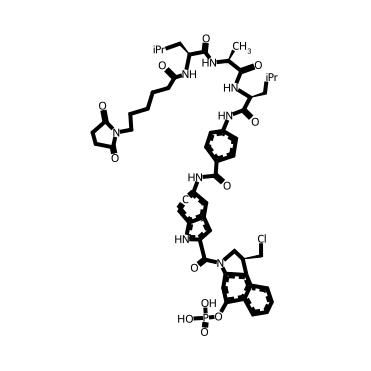 CC(C)C[C@H](NC(=O)CCCCCN1C(=O)CCC1=O)C(=O)N[C@@H](C)C(=O)N[C@@H](CC(C)C)C(=O)Nc1ccc(C(=O)Nc2ccc3[nH]c(C(=O)N4C[C@@H](CCl)c5c4cc(OP(=O)(O)O)c4ccccc54)cc3c2)cc1